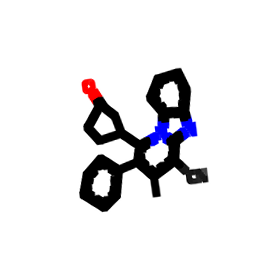 Cc1c(-c2ccccc2)c(C2CCC(=O)C2)n2c(nc3ccccc32)c1C#N